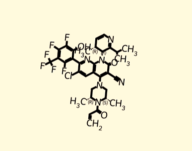 C=CC(=O)N1[C@H](C)CN(c2c(C#N)c(=O)n([C@H]3C(C(C)C)=NC=C[C@H]3C)c3nc(-c4c(O)c(F)c(F)c(C(F)(F)F)c4F)c(Cl)cc23)C[C@@H]1C